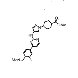 CNCc1ccc(-c2ccnc(Nc3cnn(C4CCC(C(=O)OC)CC4)c3)n2)cc1C